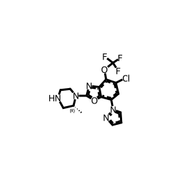 C[C@@H]1CNCCN1c1nc2c(OC(F)(F)F)c(Cl)cc(-n3cccn3)c2o1